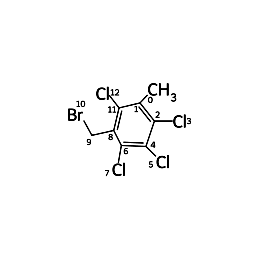 Cc1c(Cl)c(Cl)c(Cl)c(CBr)c1Cl